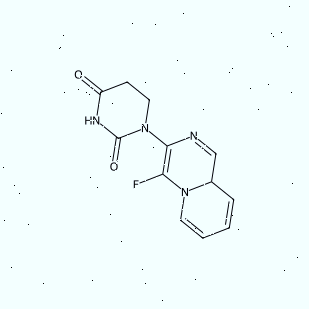 O=C1CCN(C2=C(F)N3C=CC=CC3C=N2)C(=O)N1